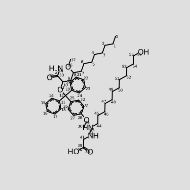 CCCCCCCCC(CC(OC(c1ccccc1)(c1ccccc1)c1ccc(OC)cc1)C(N)=O)OC.O=C(O)CNNCCCCCCCCCCCCO